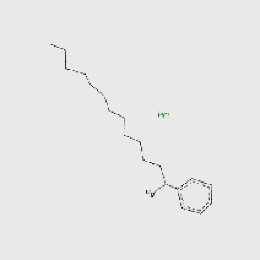 CCCCCCCCCCCC[CH]([Hg])c1ccccc1.Cl